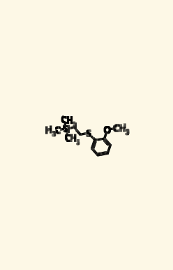 COc1ccccc1SCC[Si](C)(C)C